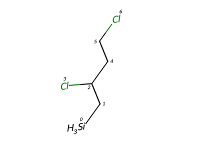 [SiH3]CC(Cl)CCCl